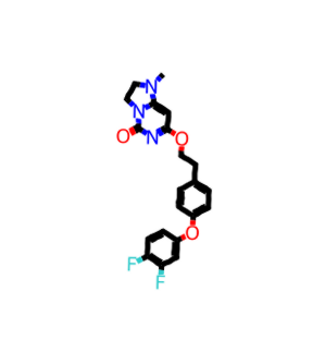 CN1CCn2c1cc(OCCc1ccc(Oc3ccc(F)c(F)c3)cc1)nc2=O